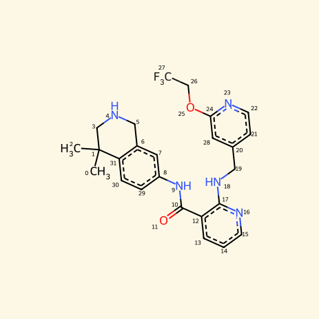 CC1(C)CNCc2cc(NC(=O)c3cccnc3NCc3ccnc(OCC(F)(F)F)c3)ccc21